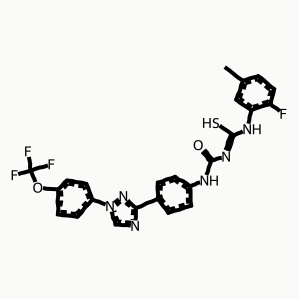 Cc1ccc(F)c(N/C(S)=N/C(=O)Nc2ccc(-c3ncn(-c4ccc(OC(F)(F)F)cc4)n3)cc2)c1